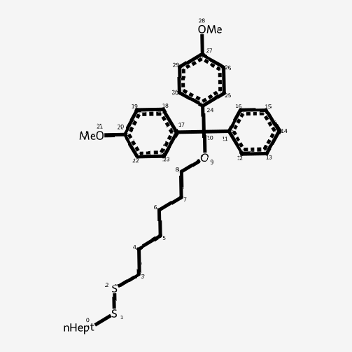 CCCCCCCSSCCCCCCOC(c1ccccc1)(c1ccc(OC)cc1)c1ccc(OC)cc1